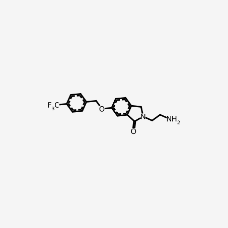 NCCN1Cc2ccc(OCc3ccc(C(F)(F)F)cc3)cc2C1=O